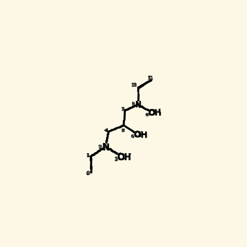 CCN(O)CC(O)CN(O)CC